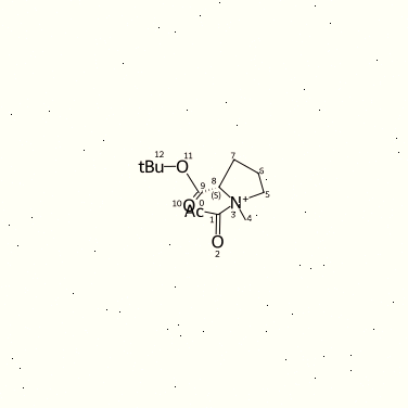 CC(=O)C(=O)[N+]1(C)CCC[C@H]1C(=O)OC(C)(C)C